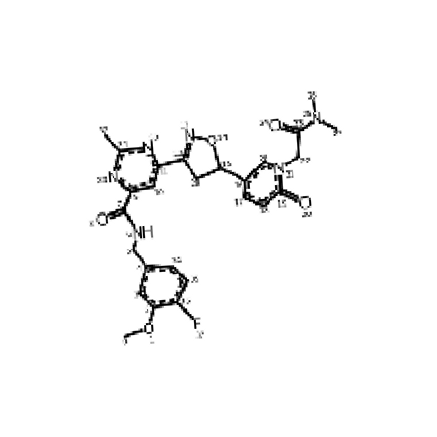 COc1cc(CNC(=O)c2cc(C3=NOC(c4ccc(=O)n(CC(=O)N(C)C)c4)C3)nc(C)n2)ccc1F